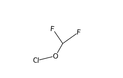 FC(F)OCl